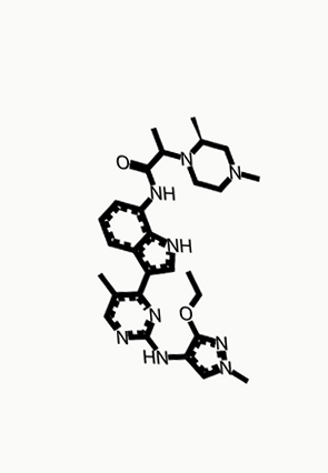 CCOc1nn(C)cc1Nc1ncc(C)c(-c2c[nH]c3c(NC(=O)C(C)N4CCN(C)C[C@@H]4C)cccc23)n1